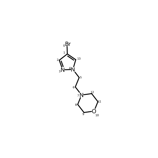 Brc1cnn(CCN2CCOCC2)c1